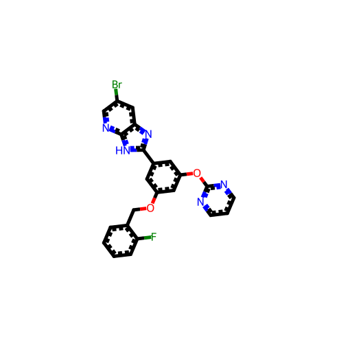 Fc1ccccc1COc1cc(Oc2ncccn2)cc(-c2nc3cc(Br)cnc3[nH]2)c1